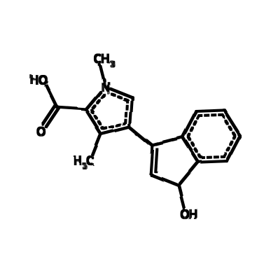 Cc1c(C2=CC(O)c3ccccc32)cn(C)c1C(=O)O